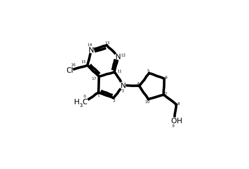 Cc1cn(C2CCC(CO)C2)c2ncnc(Cl)c12